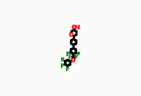 OC1CCC(c2ccc(-c3cc(F)c(C(F)(F)Oc4cc(F)c(F)c(F)c4)c(F)c3)cc2)OC1